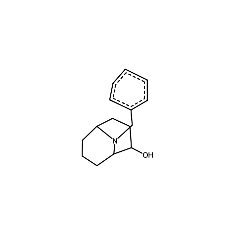 OC1CCC2CCCC1N2Cc1ccccc1